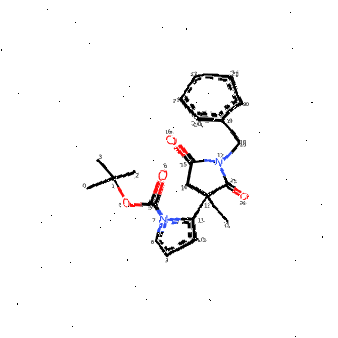 CC(C)(C)OC(=O)n1cccc1C1(C)CC(=O)N(Cc2ccccc2)C1=O